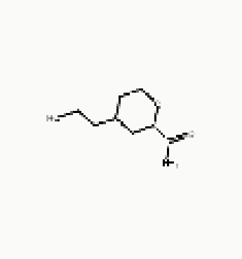 NC(=O)[C@@H]1CC([CH]CO)CCO1